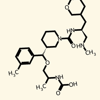 CNC[C@H](CC1CCCOC1)NC(=O)N1CCC[C@@H](C(OCC(C)NC(=O)O)c2cccc(C)c2)C1